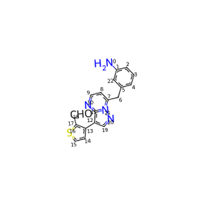 Nc1cccc(Cc2ccnc3c(-c4ccsc4C=O)cnn23)c1